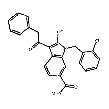 CCCc1c(C(=O)Cc2ccccc2)c2ccc(C(=O)OC)cc2n1Cc1ccccc1Cl